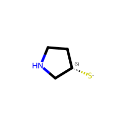 [S][C@H]1CCNC1